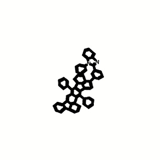 c1ccc(-c2c3cc4c5ccccc5c5cccc(c3c(-c3ccccc3)c3c6ccc(-c7cccc(-c8nc9ccccc9n8-c8ccccc8)c7)c7cccc(c23)c76)c54)cc1